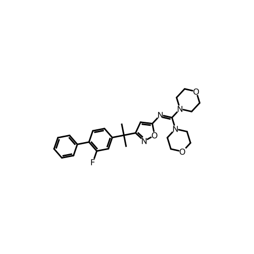 CC(C)(c1ccc(-c2ccccc2)c(F)c1)c1cc(N=C(N2CCOCC2)N2CCOCC2)on1